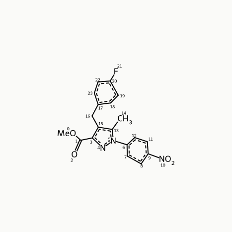 COC(=O)c1nn(-c2ccc([N+](=O)[O-])cc2)c(C)c1Cc1ccc(F)cc1